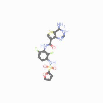 NC1NC=Nc2c(C(=O)Nc3c(F)ccc(NS(=O)(=O)c4ccco4)c3F)csc21